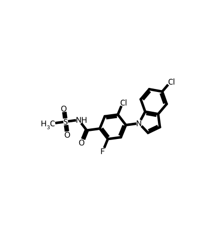 CS(=O)(=O)NC(=O)c1cc(Cl)c(-n2ccc3cc(Cl)ccc32)cc1F